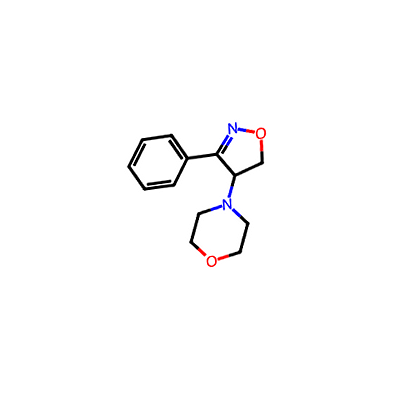 c1ccc(C2=NOCC2N2CCOCC2)cc1